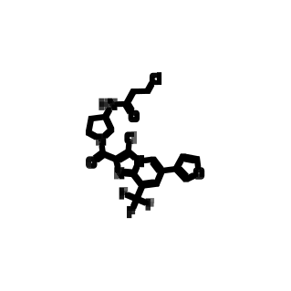 O=C(CCCl)NC1CCN(C(=O)c2nc3c(C(F)(F)F)cc(-c4ccoc4)cn3c2Cl)C1